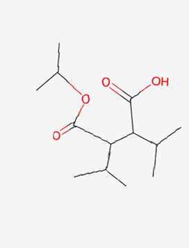 CC(C)OC(=O)C(C(C)C)C(C(=O)O)C(C)C